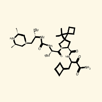 C[C@@H]1CN(C[C@@H](NC(=O)N[C@H](C(=O)N2CC3(C[C@H]2C(=O)NC(CC2CCC2)C(=O)C(N)=O)C(C)(C)C32CCC2)C(C)(C)C)C(C)(C)C)C[C@H](C)N1